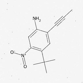 CC#Cc1cc(C(C)(C)C)c([N+](=O)[O-])cc1N